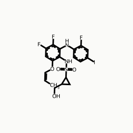 C/C=C\Oc1cc(F)c(F)c(Nc2ccc(I)cc2F)c1NS(=O)(=O)C1CC1CO